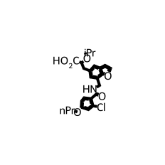 CCCOc1ccc(C(=O)NCc2cc(CC(OC(C)C)C(=O)O)cc3ccoc23)c(Cl)c1